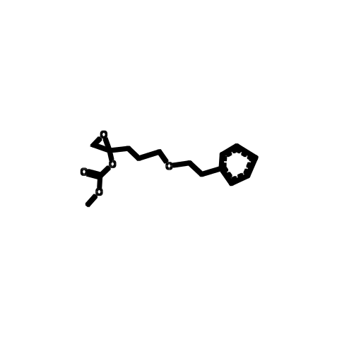 COC(=O)OC1(CCCOCCc2ccccc2)CO1